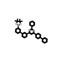 CC1(C)OB(c2cccc(-c3cccc(-c4cc(-c5ccc(-c6ccccc6)cc5)nc(-c5ccccc5)n4)c3)c2)OC1(C)C